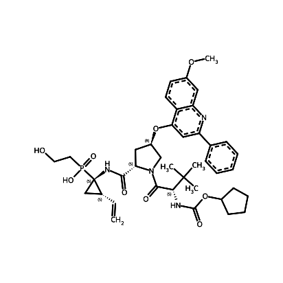 C=C[C@@H]1C[C@]1(NC(=O)[C@@H]1C[C@@H](Oc2cc(-c3ccccc3)nc3cc(OC)ccc23)CN1C(=O)[C@@H](NC(=O)OC1CCCC1)C(C)(C)C)P(=O)(O)CCO